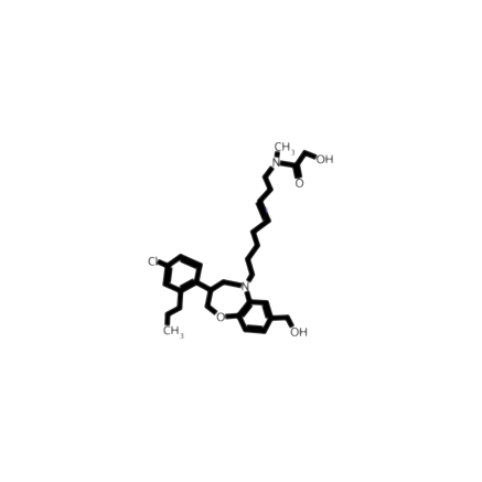 CCCc1cc(Cl)ccc1C1COc2ccc(CO)cc2N(CCCC/C=C/CCN(C)C(=O)CO)C1